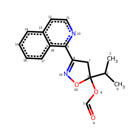 CC(C)C1(OC=O)CC(c2nccc3ccccc23)=NO1